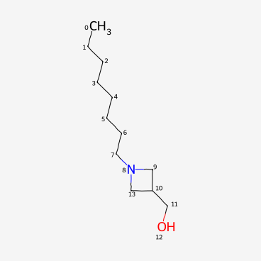 CCCCCCCCN1CC(CO)C1